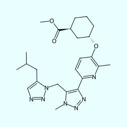 COC(=O)[C@H]1CCC[C@H](Oc2ccc(-c3nnn(C)c3Cn3nncc3CC(C)C)nc2C)C1